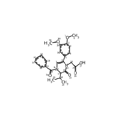 COc1ccc(C2=CN(C(=O)c3ccccc3)C(C(C)C)C(=O)N2CC(=O)O)cc1OC